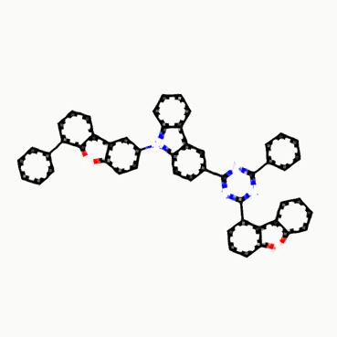 c1ccc(-c2nc(-c3ccc4c(c3)c3ccccc3n4-c3ccc4oc5c(-c6ccccc6)cccc5c4c3)nc(-c3cccc4oc5ccccc5c34)n2)cc1